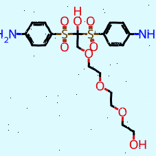 Nc1ccc(S(=O)(=O)C(O)(COCCOCCOCCO)S(=O)(=O)c2ccc(N)cc2)cc1